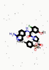 CCOc1ccc(F)c([C@H](Nc2ccc3c(N)nccc3c2)C(=O)N2CC[C@H](C(=O)OC)[C@@H]2c2cc(NC(C)=O)ccc2S(=O)(=O)C(C)C)c1